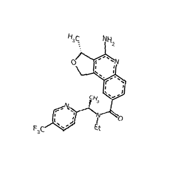 CCN(C(=O)c1ccc2nc(N)c3c(c2c1)CO[C@@H]3C)[C@H](C)c1ccc(C(F)(F)F)cn1